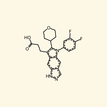 O=C(O)CCc1c(C2CCOCC2)n(-c2ccc(F)c(F)c2)c2cc3cn[nH]c3cc12